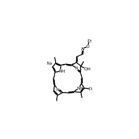 CCON=CC=C1c2cc3[nH]c(cc4nc(cc5[nH]c(cc(n2)C1(C)O)c(CC)c5C)C(C)=C4)cc3C.[Na]